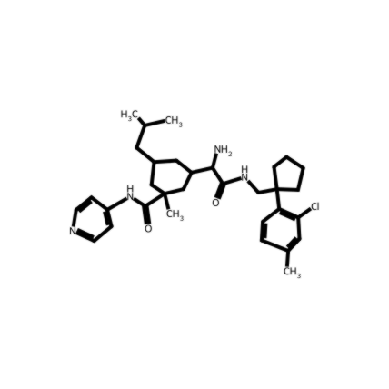 Cc1ccc(C2(CNC(=O)C(N)C3CC(CC(C)C)CC(C)(C(=O)Nc4ccncc4)C3)CCCC2)c(Cl)c1